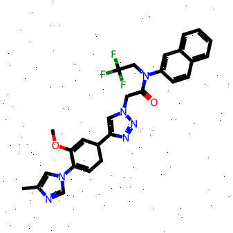 COC1=CC(c2cn(CC(=O)N(CC(F)(F)F)c3ccc4ccccc4c3)nn2)CC=C1n1cnc(C)c1